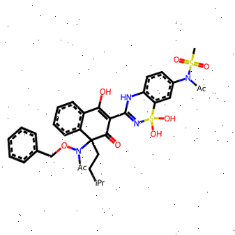 CC(=O)N(OCc1ccccc1)C1(CCC(C)C)C(=O)C(C2=NS(O)(O)c3cc(N(C(C)=O)S(C)(=O)=O)ccc3N2)=C(O)c2ccccc21